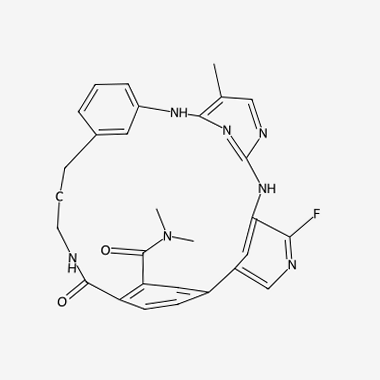 Cc1cnc2nc1Nc1cccc(c1)CCCNC(=O)c1ccc(cc1C(=O)N(C)C)-c1cnc(F)c(c1)N2